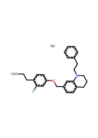 O=C([O-])CCc1ccc(OCc2ccc3c(c2)N(CCc2ccccc2)CCC3)cc1F.[Na+]